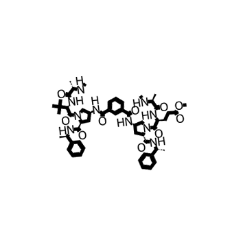 CN[C@@H](C)C(=O)N[C@@H](CCC(=O)OC)C(=O)N1C[C@@H](NC(=O)c2cccc(C(=O)N[C@H]3C[C@@H](C(=O)N[C@H](C)c4ccccc4)N(C(=O)[C@@H](NC(=O)[C@H](C)NC)C(C)(C)C)C3)c2)C[C@H]1C(=O)N[C@H](C)c1ccccc1